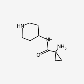 NC1(C(=O)NC2CCNCC2)CC1